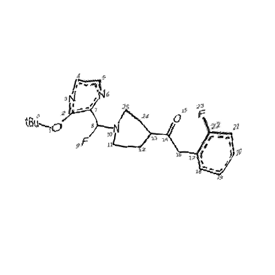 CC(C)(C)Oc1nccnc1C(F)N1CCC(C(=O)Cc2ccccc2F)CC1